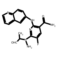 CC(C=O)N(N)c1nc(Nc2ccc3ncccc3c2)c(C(N)=O)cc1F